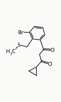 CSCc1c(Br)cccc1C(=O)CC(=O)C1CC1